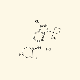 CC1(c2nc(Cl)c3cnc(N[C@@H]4CCNC[C@H]4F)nn23)CCC1.Cl